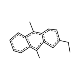 CCc1ccc2c(C)c3ccccc3c(C)c2c1